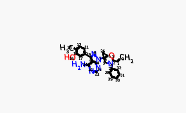 C=CC(=O)N(CC1(n2nc(-c3ccc(C)c(O)c3)c3c(N)ncnc32)CC1)c1ccccc1